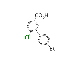 [CH2]Cc1ccc(-c2cc(C(=O)O)ccc2Cl)cc1